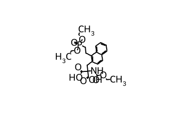 CCOC(=O)NC(Cc1ccc2ccccc2c1CCP(=O)(OCC)OCC)(C(=O)O)C(=O)O